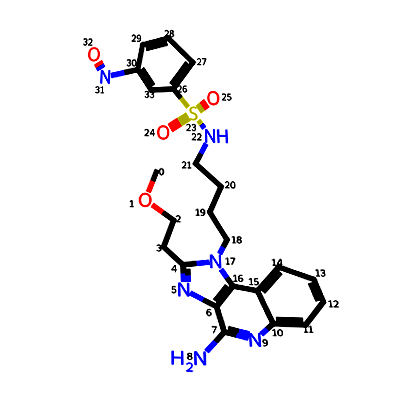 COCCc1nc2c(N)nc3ccccc3c2n1CCCCNS(=O)(=O)c1cccc(N=O)c1